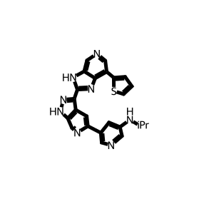 CC(C)Nc1cncc(-c2cc3c(-c4nc5c(-c6cccs6)cncc5[nH]4)n[nH]c3cn2)c1